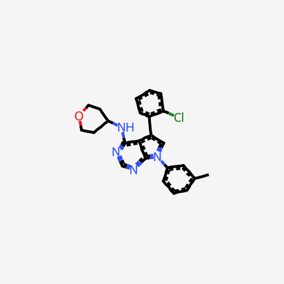 Cc1cccc(-n2cc(-c3ccccc3Cl)c3c(NC4CCOCC4)ncnc32)c1